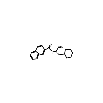 O=[C][C@@H](CC1CCCCC1)NC(=O)c1ccc2ccccc2c1